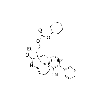 CCOC1=Nc2cccc(C(=O)[O-])c2[N+]1(CCOC(=O)OC1CCCCC1)Cc1ccc(-c2ccccc2)c(C#N)c1